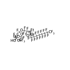 CCN(C(F)(F)C(F)(F)OC(F)(OC(F)(OP(=O)(O)O)C(F)(F)F)C(F)(F)F)S(=O)(=O)C(F)(F)C(F)(F)C(F)(F)C(F)(F)C(F)(F)C(F)(F)C(F)(F)C(F)(F)F